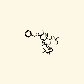 CC(=O)OC(CN(C(C)=O)[NH+]([O-])C(C)(C)C)c1ccc(OCc2ccccc2)c(C)n1